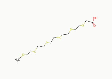 CSCCSCCSCCSCCSCCSCC(=O)O